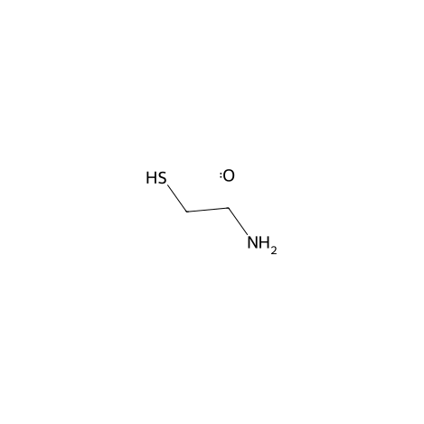 NCCS.[O]